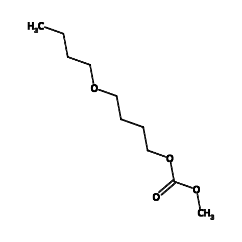 CCCCOCCCCOC(=O)OC